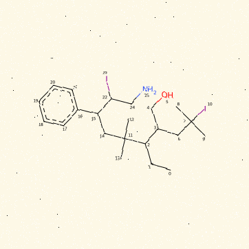 CCC(C(CO)CC(C)(C)I)C(C)(C)CC(c1ccccc1)C(I)CN